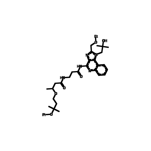 CCOCc1nc2c(NC(=O)CCNC(=O)CC(C)OCCC(C)(C)OC(C)C)nc3ccccc3c2n1CC(C)(C)O